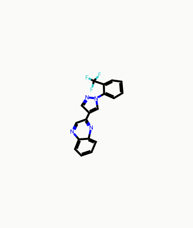 FC(F)(F)c1ccccc1-n1cc(-c2cnc3ccccc3n2)cn1